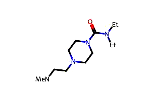 CCN(CC)C(=O)N1CCN(CCNC)CC1